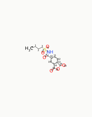 CCCCS(=O)(=O)NC(=O)c1ccc2c(c1)C(=O)OC2=O